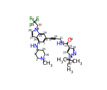 CN1CCC(Nc2cc(C#CCNC(=O)c3cnn(C(C)(C)C)c3)cc3c2ccn3CC(F)(F)F)CC1